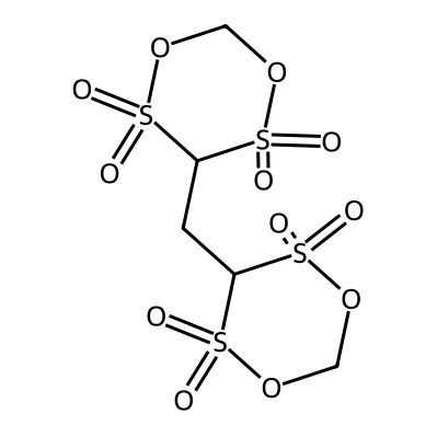 O=S1(=O)OCOS(=O)(=O)C1CC1S(=O)(=O)OCOS1(=O)=O